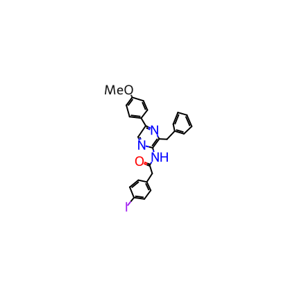 COc1ccc(-c2cnc(NC(=O)Cc3ccc(I)cc3)c(Cc3ccccc3)n2)cc1